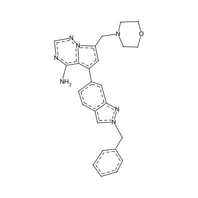 Nc1ncnn2c(CN3CCOCC3)cc(-c3ccc4cn(Cc5ccccc5)nc4c3)c12